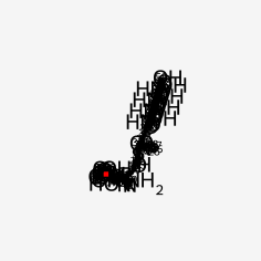 Nc1ncnc2c1c(C#CCCC(=O)CCSSCC(NC(=O)C1CCCCC1)C(=O)CCCCCCC(=O)NC(CC(=O)NC(CC(=O)NC(CC(=O)NC(CC(=O)O)C(=O)O)C(=O)O)C(=O)O)C(=O)O)cn2C1CC(O)C(COP(=O)(O)OP(=O)(O)OP(=O)(O)O)O1